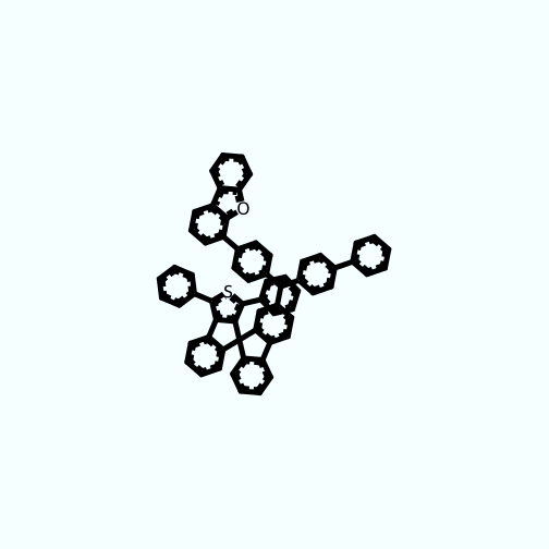 c1ccc(-c2ccc(C(c3ccc(-c4cccc5c4oc4ccccc45)cc3)c3ccc4c(c3)C3(c5ccccc5-4)c4ccccc4-c4c(-c5ccccc5)sc(-c5ccccc5)c43)cc2)cc1